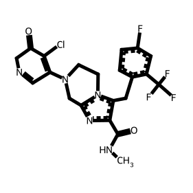 CNC(=O)c1nc2n(c1Cc1ccc(F)cc1C(F)(F)F)CCN(C1=C(Cl)C(=O)CN=C1)C2